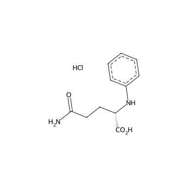 Cl.NC(=O)CC[C@H](Nc1ccccc1)C(=O)O